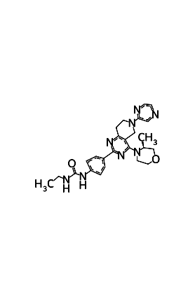 CCNC(=O)Nc1ccc(-c2nc3c(c(N4CCOC[C@@H]4C)n2)CN(c2cnccn2)CC3)cc1